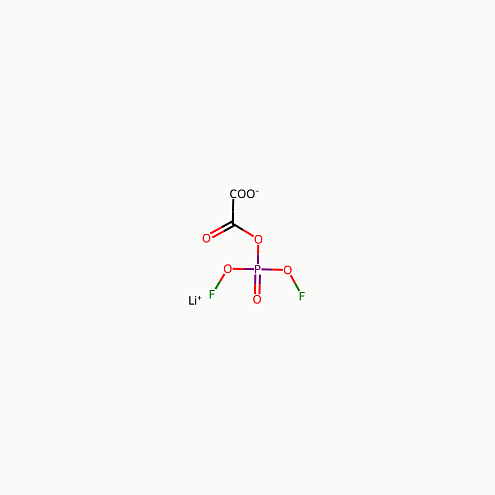 O=C([O-])C(=O)OP(=O)(OF)OF.[Li+]